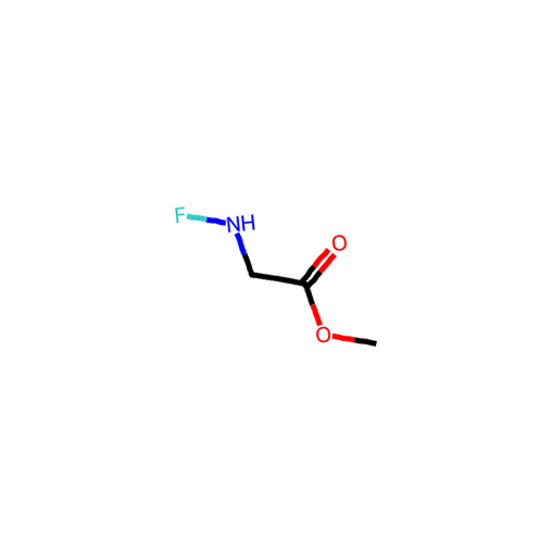 COC(=O)CNF